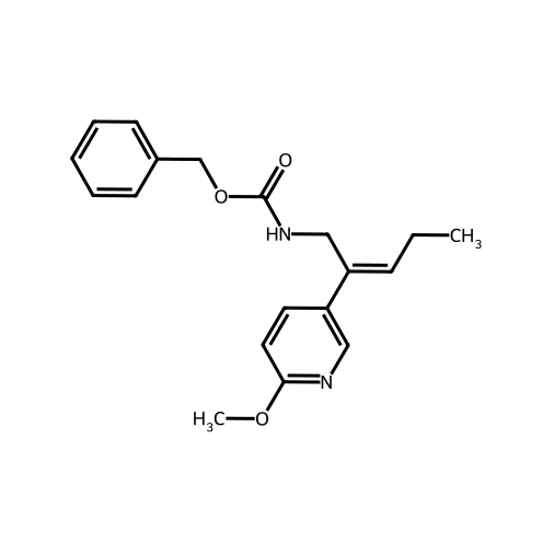 CC/C=C(\CNC(=O)OCc1ccccc1)c1ccc(OC)nc1